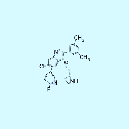 Cc1cc(C)cc(-c2cnc3cc(Cl)c(-c4ccc(F)nc4)cc3c2OCCC2CCN2)c1